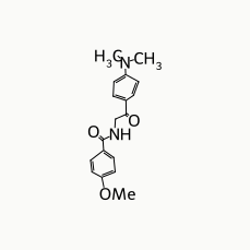 COc1ccc(C(=O)NCC(=O)c2ccc(N(C)C)cc2)cc1